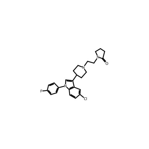 O=C1CCCN1CCN1CCC(c2cn(-c3ccc(F)cc3)c3ccc(Cl)cc23)CC1